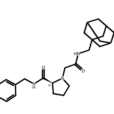 O=C(CN1CCC[C@H]1C(=O)NCc1ccccc1)NCC12CC3CC(CC(C3)C1)C2